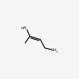 CCCC(C)=CCN